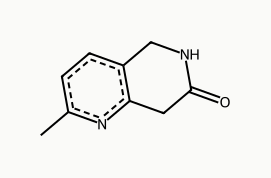 Cc1ccc2c(n1)CC(=O)NC2